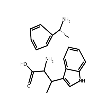 CC(c1c[nH]c2ccccc12)C(N)C(=O)O.C[C@@H](N)c1ccccc1